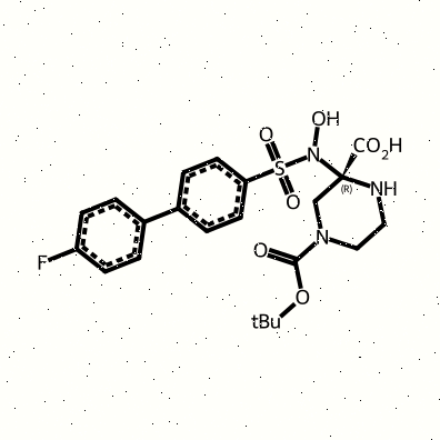 CC(C)(C)OC(=O)N1CCN[C@@](C(=O)O)(N(O)S(=O)(=O)c2ccc(-c3ccc(F)cc3)cc2)C1